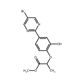 COC(=O)C(C)Oc1ccc(-c2ncc(Br)cn2)cc1O